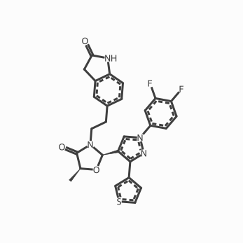 C[C@@H]1O[C@H](c2cn(-c3ccc(F)c(F)c3)nc2-c2ccsc2)N(CCc2ccc3c(c2)CC(=O)N3)C1=O